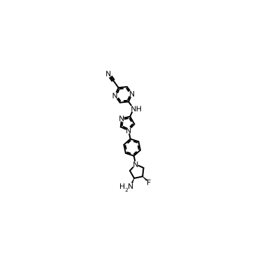 N#Cc1cnc(Nc2cn(-c3ccc(N4C[C@@H](F)[C@@H](N)C4)cc3)cn2)cn1